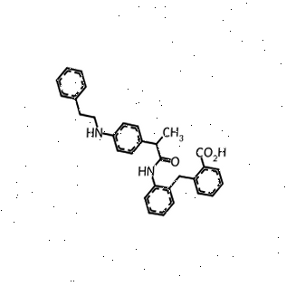 CC(C(=O)Nc1ccccc1Cc1ccccc1C(=O)O)c1ccc(NCCc2ccccc2)cc1